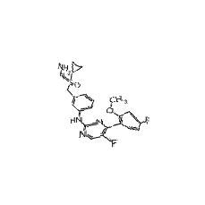 COc1cc(F)ccc1-c1nc(Nc2cccc(CS(=O)(=NN)C3CC3)c2)ncc1F